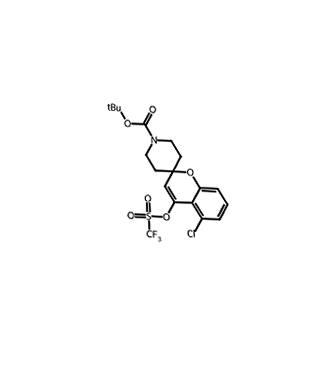 CC(C)(C)OC(=O)N1CCC2(C=C(OS(=O)(=O)C(F)(F)F)c3c(Cl)cccc3O2)CC1